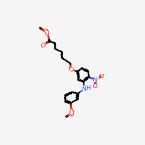 COC(=O)CCCCCOc1ccc([N+](=O)[O-])c(Nc2cccc(OC)c2)c1